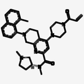 C=CC(=O)N1CCN(c2cc(C(=O)N(C)[C@@H]3CCN(C)C3)nc3c2CCN(c2cccc4cccc(C)c24)C3)CC1